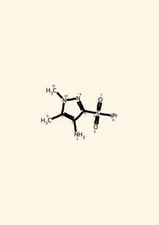 Cc1c(N)c(S(=O)(=O)C(C)C)nn1C